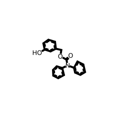 O=C(OCc1cccc(O)c1)N(c1ccccc1)c1ccccc1